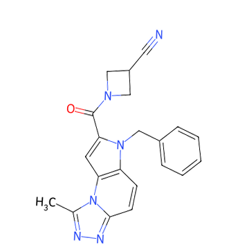 Cc1nnc2ccc3c(cc(C(=O)N4CC(C#N)C4)n3Cc3ccccc3)n12